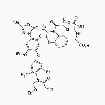 CC(C)Oc1cc(-n2nc(C(C)(C)C)oc2=O)c(Cl)cc1Cl.CC1COc2ccccc2N1C(=O)C(Cl)Cl.CCOCN(C(=O)CCl)c1c(C)cccc1CC.O=C(O)CNCP(=O)(O)O